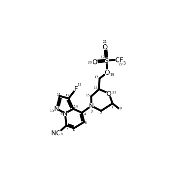 CC1CN(c2ccc(C#N)n3ncc(F)c23)CC(COS(=O)(=O)C(F)(F)F)O1